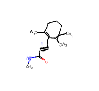 CNC(=O)/C=C/C1=C(C)CCCC1(C)C